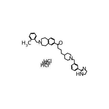 Cc1ccccc1CN1CCc2ccc(C(=O)CCCC3CCN(Cc4cccc(C5=NCCN5)c4)CC3)cc2CC1.Cl.Cl.Cl